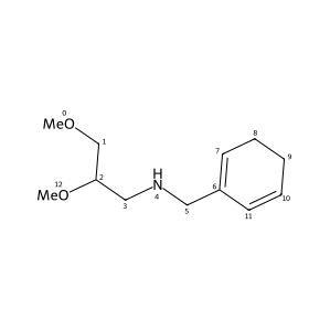 COCC(CNCC1=CCCC=C1)OC